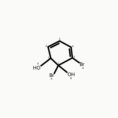 OC1C=CC=C(Br)C1(O)Br